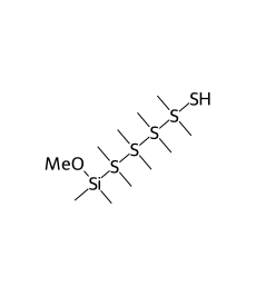 CO[Si](C)(C)S(C)(C)S(C)(C)S(C)(C)S(C)(C)S